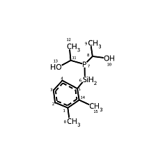 Cc1cccc([SiH2]P(C(C)O)C(C)O)c1C